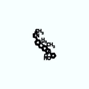 Cc1c(Cc2ccc(-c3ccn(C)n3)cc2)cc2c(c1C)CN([C@H]1CCC[C@@H]1O)C2=O